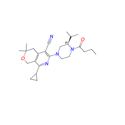 CCCC(=O)N1CCN(c2nc(C3CC3)c3c(c2C#N)CC(C)(C)OC3)C[C@H]1C(C)C